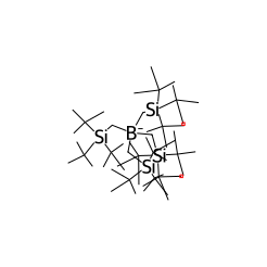 CC(C)(C)[Si](C[B-](C[Si](C(C)(C)C)(C(C)(C)C)C(C)(C)C)(C[Si](C(C)(C)C)(C(C)(C)C)C(C)(C)C)C[Si](C(C)(C)C)(C(C)(C)C)C(C)(C)C)(C(C)(C)C)C(C)(C)C